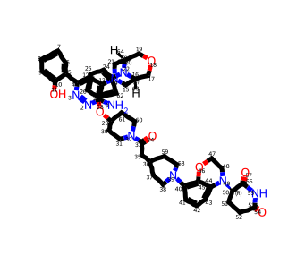 Nc1nnc(-c2ccccc2O)cc1N1C[C@H]2COC[C@@H](C1)N2c1cccc(OC2CCN(C(=O)CC3CCN(c4cccc5c4OCCN5[C@@H]4CCC(=O)NC4=O)CC3)CC2)c1